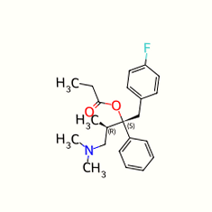 CCC(=O)O[C@](Cc1ccc(F)cc1)(c1ccccc1)[C@H](C)CN(C)C